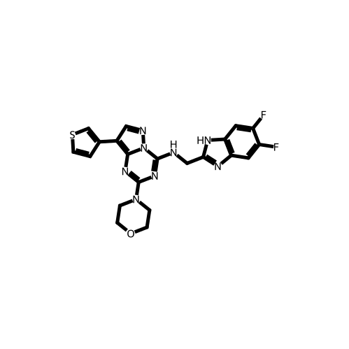 Fc1cc2nc(CNc3nc(N4CCOCC4)nc4c(-c5ccsc5)cnn34)[nH]c2cc1F